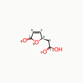 O=C(O)C[C@@H]1C=CC(=O)O1